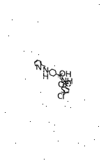 O=S(=O)(NC[C@H](O)C1CCC(NCc2ccccn2)CC1)c1ccc(Cl)s1